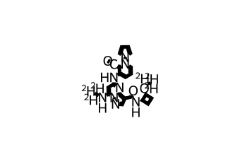 [2H]C([2H])([2H])Nc1cc(NC2=CC=CN(n3cccc3)C2=C=O)nc2c(C(=O)N[C@H]3CC[C@@H]3OC([2H])([2H])[2H])cnn12